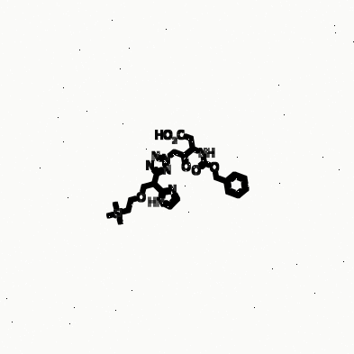 C[Si](C)(C)CCOCC(c1nnn(CC(=O)C(CC(=O)O)NC(=O)OCc2ccccc2)n1)c1ncc[nH]1